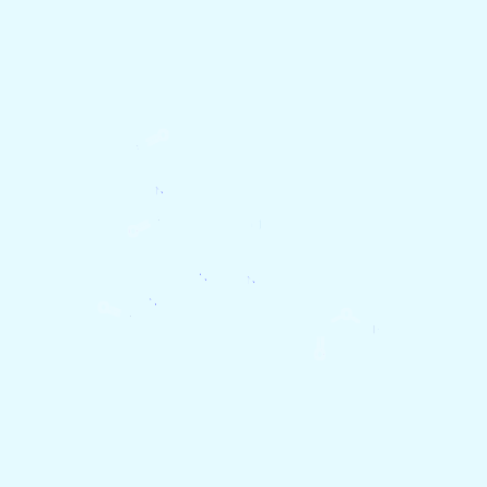 CCC(=O)CNC(=O)c1cc(Cl)c(N2CCC(C(=O)OC(C)(C)C)CC2)nc1CN1CCCC1=O